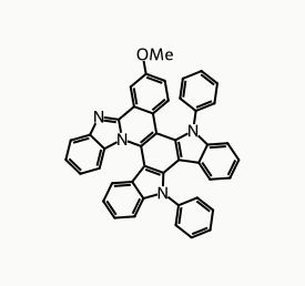 COc1ccc2c(c1)c1nc3ccccc3n1c1c2c2c(c3ccccc3n2-c2ccccc2)c2c1c1ccccc1n2-c1ccccc1